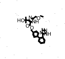 CCOCc1nc(C(C)(C)O)c(C(=O)OCc2ccc(-c3ccccc3-c3nnn[nH]3)cc2)[nH]1